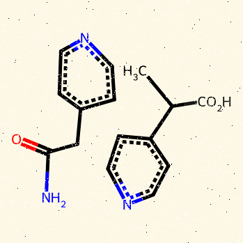 CC(C(=O)O)c1ccncc1.NC(=O)Cc1ccncc1